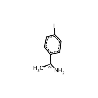 C[C@H](N)c1ccc(I)cc1